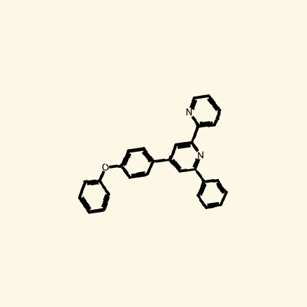 c1ccc(Oc2ccc(-c3cc(-c4ccccc4)nc(-c4ccccn4)c3)cc2)cc1